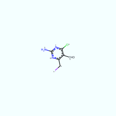 Nc1nc(Cl)c(C=O)c(CI)n1